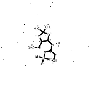 CC[Si](CC)(CC)OC(CO)[C@@H](O)C1OC(C)(C)OC1CC=O